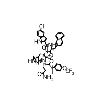 NC(=O)CC[C@H](NC(=O)[C@H](Cc1nn[nH]n1)NC(=O)[C@H](Cc1ccc2ccccc2c1)NC(=O)c1cc2cc(Cl)ccc2[nH]1)C(=O)Nc1ccc(OC(F)(F)F)cc1